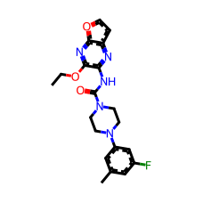 CCOc1nc2occc2nc1NC(=O)N1CCN(c2cc(C)cc(F)c2)CC1